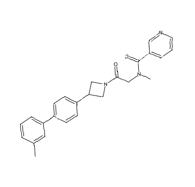 Cc1cccc(-c2ccc(C3CN(C(=O)CN(C)C(=O)c4cccnc4)C3)cc2)c1